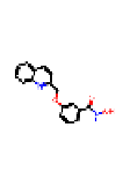 O=C(NO)c1cccc(OCc2ccc3ccccc3n2)c1